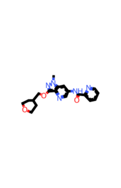 Cn1nc(OCC2CCOCC2)c2ncc(NC(=O)c3ccccn3)cc21